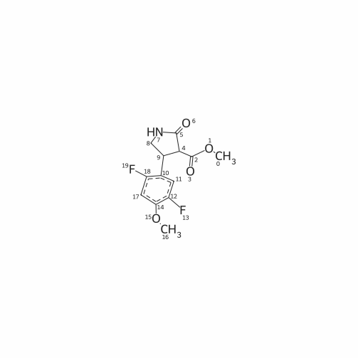 COC(=O)C1C(=O)NCC1c1cc(F)c(OC)cc1F